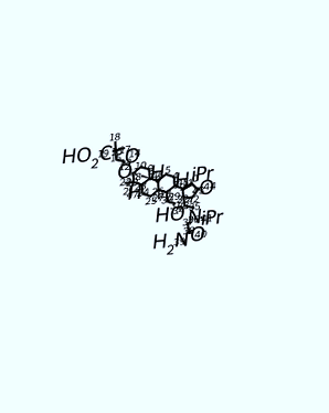 CC(C)C1=C2[C@H]3CC[C@@H]4[C@@]5(C)CC[C@H](OC(=O)CC(C)(C)C(=O)O)C(C)(C)[C@@H]5CC[C@@]4(C)[C@]3(C)CC[C@@]2([C@@H](O)CN(CC(N)=O)C(C)C)CC1=O